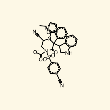 CCOc1ccccc1C1(C2CNc3ccccc32)C(=O)[N+](C(=O)[O-])(S(=O)(=O)c2ccc(C#N)cc2)CC(C#N)N1c1nccs1